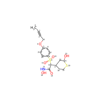 CC#CCOc1ccc(S(=O)(=O)C(C(=O)NO)C2CCSC(O)C2)cc1